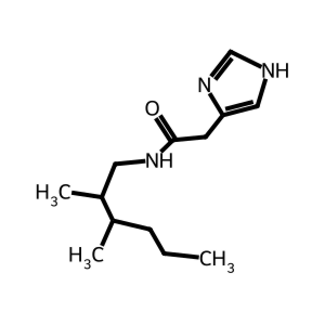 CCCC(C)C(C)CNC(=O)Cc1c[nH]cn1